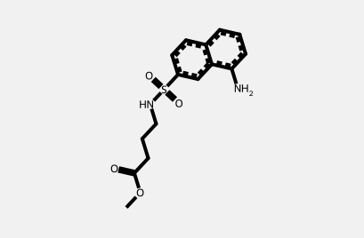 COC(=O)CCCNS(=O)(=O)c1ccc2cccc(N)c2c1